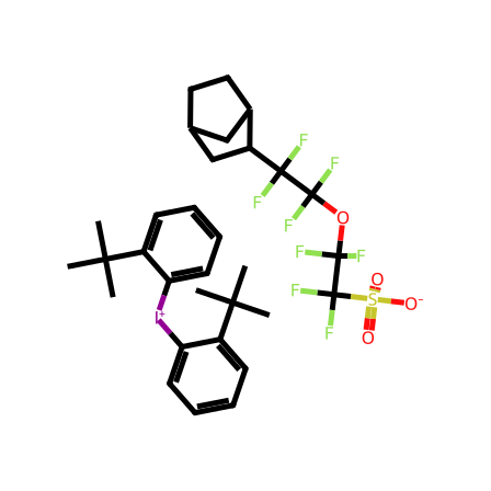 CC(C)(C)c1ccccc1[I+]c1ccccc1C(C)(C)C.O=S(=O)([O-])C(F)(F)C(F)(F)OC(F)(F)C(F)(F)C1CC2CCC1C2